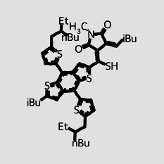 CCCCC(CC)Cc1ccc(-c2c3cc(C(C)CC)sc3c(-c3ccc(CC(CC)CCCC)s3)c3cc(/C(S)=C4\C(=O)N(C)C(=O)\C4=C/C(C)CC)sc23)s1